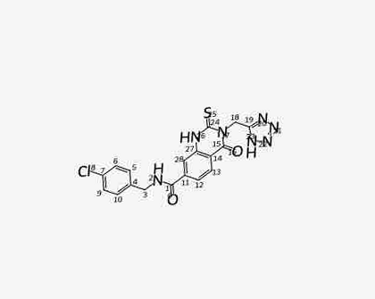 O=C(NCc1ccc(Cl)cc1)c1ccc2c(=O)n(Cc3nnn[nH]3)c(=S)[nH]c2c1